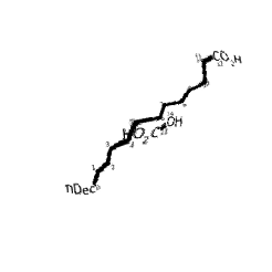 CCCCCCCCCCCCCCCCCCCCCC(=O)O.O=C(O)O